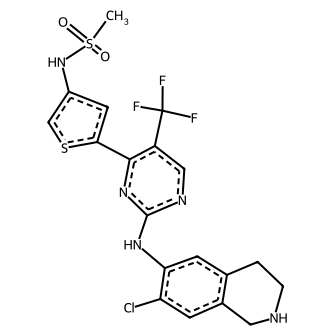 CS(=O)(=O)Nc1csc(-c2nc(Nc3cc4c(cc3Cl)CNCC4)ncc2C(F)(F)F)c1